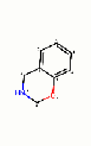 [c]1ccc2c(c1)CNCO2